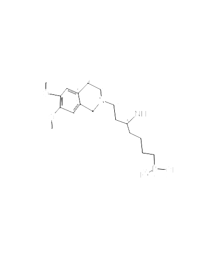 COc1cc2c(cc1OC)CN(CCC(N)CCCCB(O)O)CC2